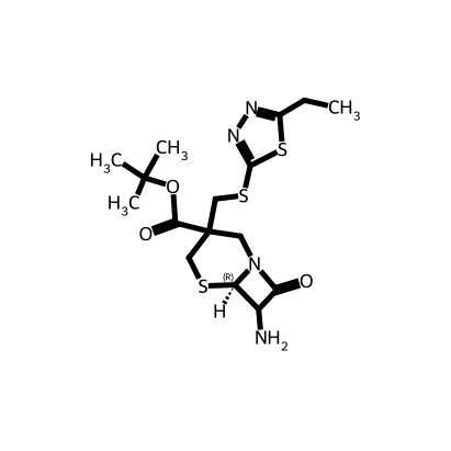 CCc1nnc(SCC2(C(=O)OC(C)(C)C)CS[C@@H]3C(N)C(=O)N3C2)s1